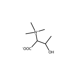 CC(O)C(C(=O)[O-])[N+](C)(C)C